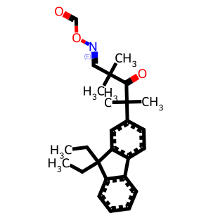 CCC1(CC)c2ccccc2-c2ccc(C(C)(C)C(=O)C(C)(C)/C=N/OC=O)cc21